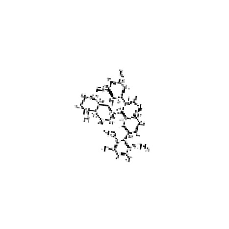 Cc1c(F)cc(F)c(O)c1-c1ccc2ncc(-c3cc(F)cc(F)c3)c(N3CCC4NCCOC4C3)c2c1